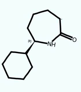 O=C1[CH]CCC[C@H](C2CCCCC2)N1